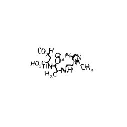 Cc1ncc([N+](=O)[O-])n1CCNC(C)C(=O)NC(CCC(=O)O)C(=O)O